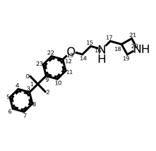 CC(C)(c1ccccc1)c1ccc(OCCNCC2CNC2)cc1